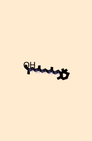 CC1=C(/C=C/C(C)=C/C=C/C(C)=C/C=C(\C)CO)C(C)(C)CCC1